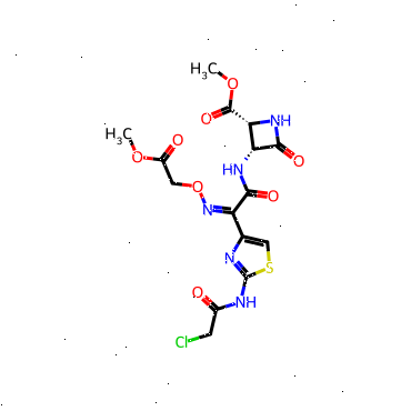 COC(=O)CON=C(C(=O)N[C@H]1C(=O)N[C@H]1C(=O)OC)c1csc(NC(=O)CCl)n1